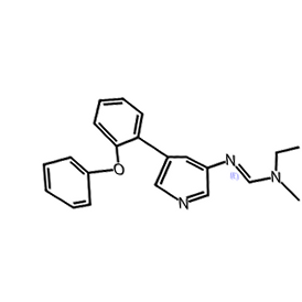 CCN(C)/C=N/c1cncc(-c2ccccc2Oc2ccccc2)c1